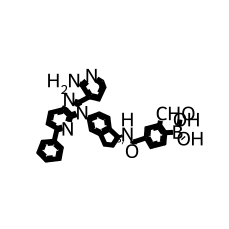 Nc1ncccc1-c1nc2ccc(-c3ccccc3)nc2n1-c1ccc2c(c1)CC[C@@H]2NC(=O)c1ccc(B(O)O)c(C=O)c1